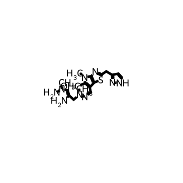 CN(N)/C=C(\N)CN(C)/N=C\c1c(C=O)n(C)c2nc(Cc3cc[nH]n3)sc12